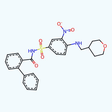 O=C(NS(=O)(=O)c1ccc(NCC2CCOCC2)c([N+](=O)[O-])c1)c1ccccc1-c1ccccc1